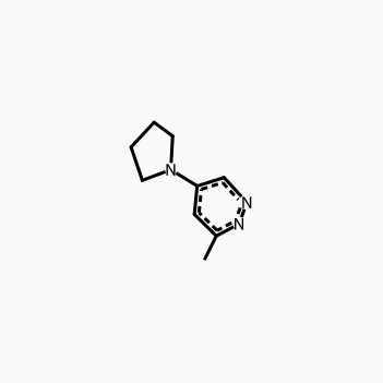 Cc1cc(N2CCCC2)cnn1